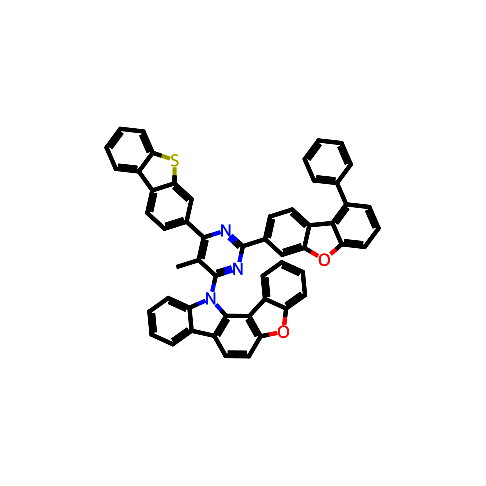 Cc1c(-c2ccc3c(c2)sc2ccccc23)nc(-c2ccc3c(c2)oc2cccc(-c4ccccc4)c23)nc1-n1c2ccccc2c2ccc3oc4ccccc4c3c21